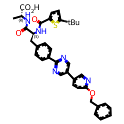 C[C@@H](NC(=O)[C@H](Cc1ccc(-c2ncc(-c3ccc(OCc4ccccc4)nc3)cn2)cc1)NC(=O)c1ccc(C(C)(C)C)s1)C(=O)O